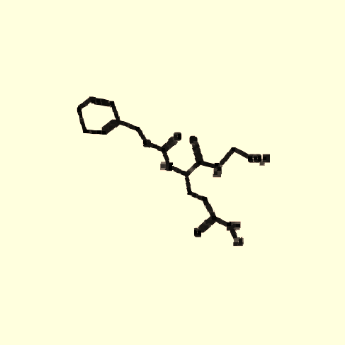 CCNC(=O)CCC(NC(=O)OCC1=CCCC=C1)C(=O)NCC(=O)O